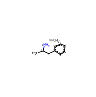 CC(N)Cc1ccccc1.[PbH2]